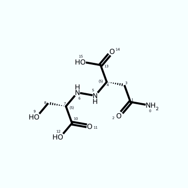 NC(=O)C[C@H](NN[C@@H](CO)C(=O)O)C(=O)O